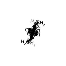 C=C(C)C(=O)OCCN1CCN(C(=O)C(CC(C)C)N2C(=O)c3cc(Oc4cccc(Cl)c4)c4c5c(Oc6cccc(Cl)c6)cc6c7c(cc(Oc8cccc(Cl)c8)c(c8c(Oc9cccc(Cl)c9)cc(c3c48)C2=O)c75)C(=O)N(C(CC(C)C)C(=O)N2CCN(CCOC(=O)C(=C)C)CC2)C6=O)CC1